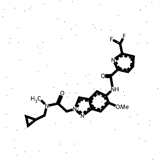 COc1cc2nn(CC(=O)N(C)CC3CC3)cc2cc1NC(=O)c1cccc(C(F)F)n1